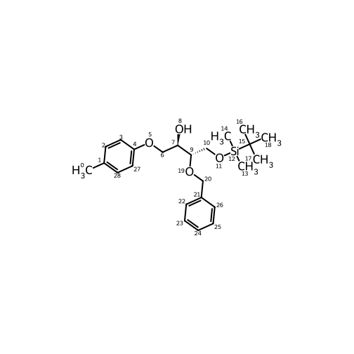 Cc1ccc(OC[C@@H](O)[C@H](CO[Si](C)(C)C(C)(C)C)OCc2ccccc2)cc1